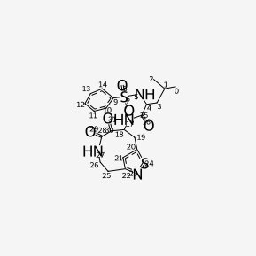 CC(C)CC(NS(=O)(=O)c1ccccc1)C(=O)NC1Cc2cc(ns2)CCNC(=O)C1=O